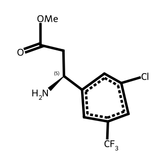 COC(=O)C[C@H](N)c1cc(Cl)cc(C(F)(F)F)c1